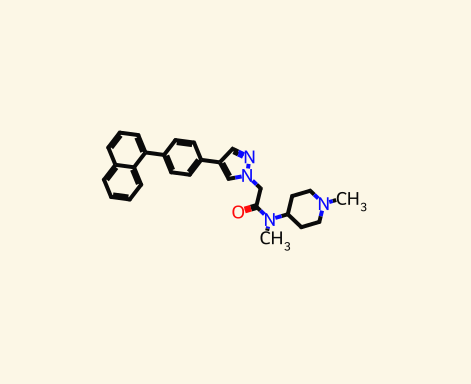 CN1CCC(N(C)C(=O)Cn2cc(-c3ccc(-c4cccc5ccccc45)cc3)cn2)CC1